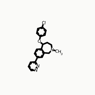 CN1CCC(Oc2ccc(Cl)cc2)c2ccc(-c3cccnn3)cc2C1